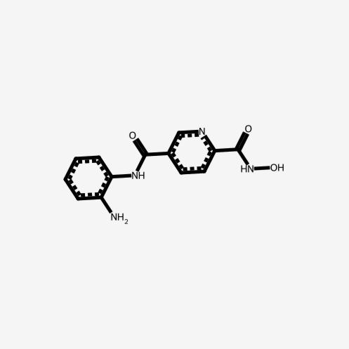 Nc1ccccc1NC(=O)c1ccc(C(=O)NO)nc1